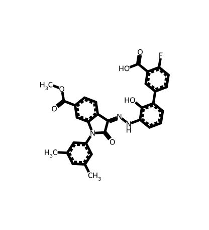 COC(=O)c1ccc2c(c1)N(c1cc(C)cc(C)c1)C(=O)C2=NNc1cccc(-c2ccc(F)c(C(=O)O)c2)c1O